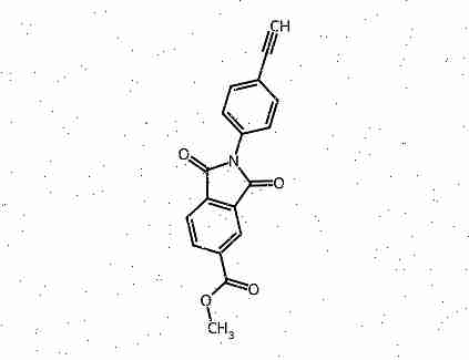 C#Cc1ccc(N2C(=O)c3ccc(C(=O)OC)cc3C2=O)cc1